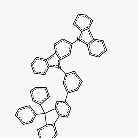 c1ccc(C2(c3ccccc3)c3ccccc3-c3ccc(-c4cccc(-n5c6ccccc6c6ccc(-n7c8ccccc8c8ccccc87)cc65)c4)cc32)cc1